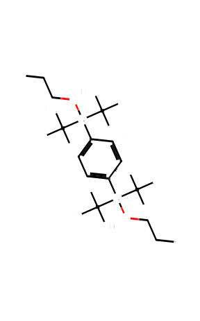 CCCO[Si](c1ccc([Si](OCCC)(C(C)(C)C)C(C)(C)C)cc1)(C(C)(C)C)C(C)(C)C